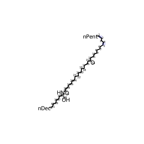 CCCCC/C=C\C/C=C\CCCCCCCC(=O)CCCCCCCCCCCCCCCC(=O)N[C@H](CO)CCCCCCCCCCCCCCCC